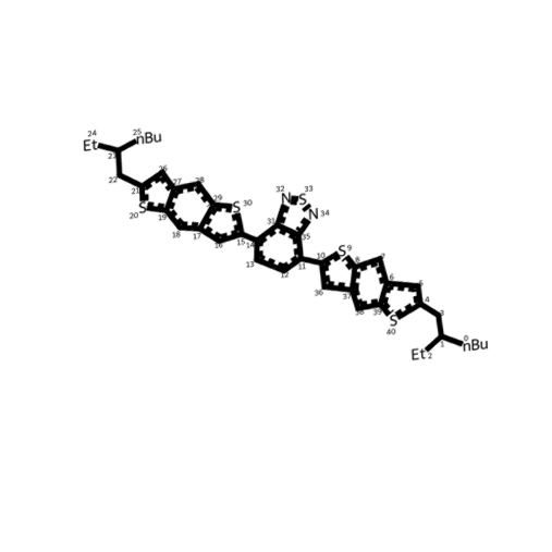 CCCCC(CC)Cc1cc2cc3sc(-c4ccc(-c5cc6cc7sc(CC(CC)CCCC)cc7cc6s5)c5nsnc45)cc3cc2s1